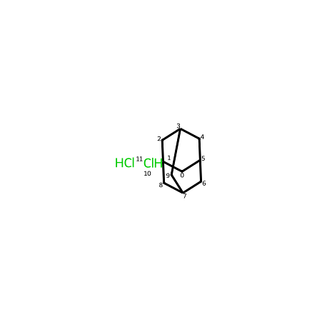 C1C2CC3CC1CC(C2)C3.Cl.Cl